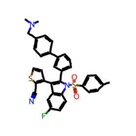 Cc1ccc(S(=O)(=O)n2c(-c3cccc(-c4ccc(CN(C)C)cc4)c3)c(-c3ccsc3C#N)c3cc(F)ccc32)cc1